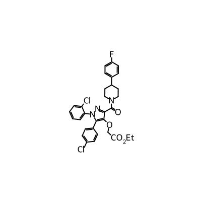 CCOC(=O)COc1c(C(=O)N2CCC(c3ccc(F)cc3)CC2)nn(-c2ccccc2Cl)c1-c1ccc(Cl)cc1